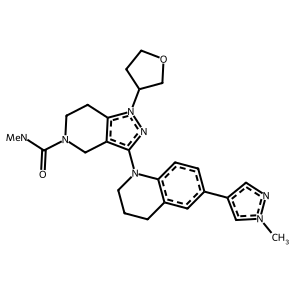 CNC(=O)N1CCc2c(c(N3CCCc4cc(-c5cnn(C)c5)ccc43)nn2C2CCOC2)C1